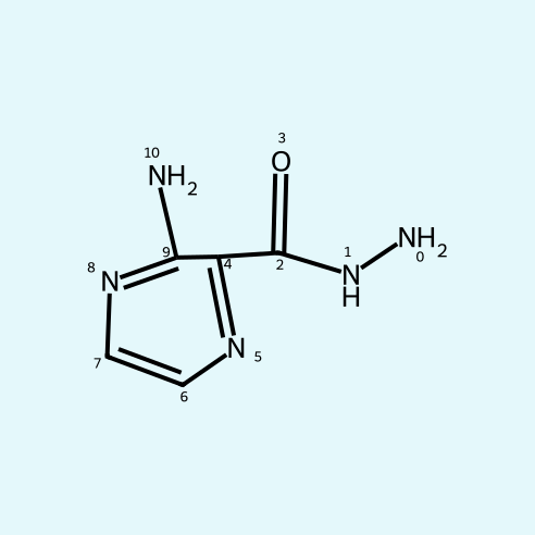 NNC(=O)c1nccnc1N